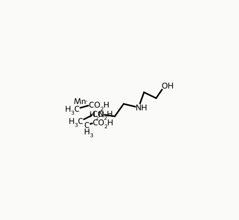 CC(=O)O.CC(=O)O.CC(=O)O.NCCNCCO.[Mn]